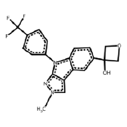 Cn1cc2c3cc(C4(O)COC4)ccc3n(-c3ccc(C(F)(F)F)cc3)c2n1